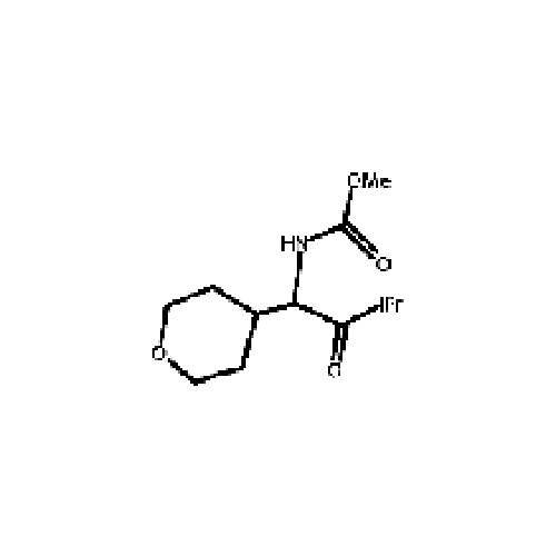 COC(=O)NC(C(=O)C(C)C)C1CCOCC1